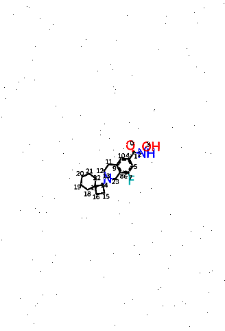 O=C(NO)c1cc(F)c2c(c1)CCN(C1CCC13CCCCC3)C2